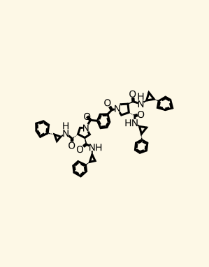 O=C(N[C@H]1C[C@@H]1c1ccccc1)[C@@H]1CN(C(=O)c2cccc(C(=O)N3C[C@@H](C(=O)N[C@H]4C[C@@H]4c4ccccc4)[C@H](C(=O)N[C@H]4C[C@@H]4c4ccccc4)C3)c2)C[C@H]1C(=O)N[C@H]1C[C@@H]1c1ccccc1